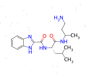 CC(C)C[C@H](NC(=O)c1nc2ccccc2[nH]1)C(=O)NC(C)CCN